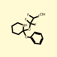 Cl.FC(F)C(F)(F)OC1(Oc2ccccc2)CCCCN1